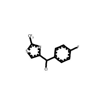 Fc1ccc(C(Cl)c2csc(C(F)(F)F)n2)cc1